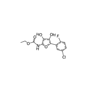 CCOC(=O)Nc1oc(-c2cc(Cl)ccc2F)c(O)c1O